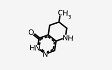 CC1CNc2cn[nH]c(=O)c2C1